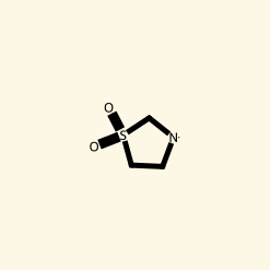 O=S1(=O)CC[N]C1